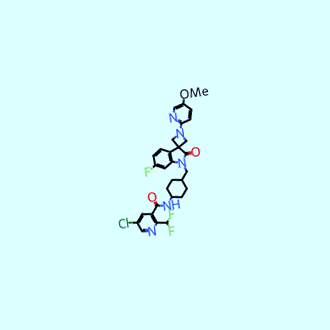 COc1ccc(N2CC3(C2)C(=O)N(CC2CCC(NC(=O)c4cc(Cl)cnc4C(F)F)CC2)c2cc(F)ccc23)nc1